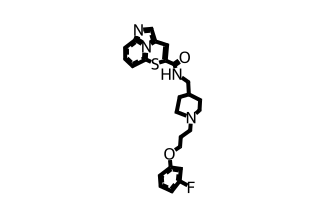 O=C(NCC1CCN(CCCOc2cccc(F)c2)CC1)C1=Cc2cnc3cccc(n23)S1